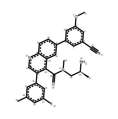 COc1cc(C#N)cc(-c2ccc3ncc(-c4cc(C)cc(F)c4)c(C(=O)N(C)C[C@H](C)N)c3c2)c1